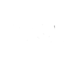 C[C@H]1CCCC(C)(C)C1C(=O)Nc1ccc(O)cc1